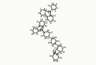 c1ccc(-n2c3ccccc3c3c(-c4ccc5c6ccccc6n(-c6ccc(-c7ccc(-c8cccc9c8oc8ccccc89)cc7)cc6)c5c4)cccc32)cc1